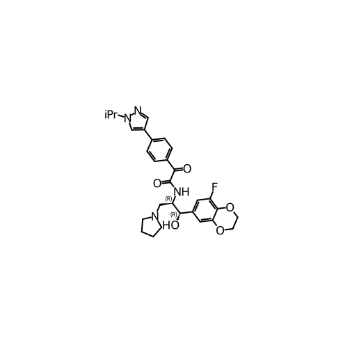 CC(C)n1cc(-c2ccc(C(=O)C(=O)N[C@H](CN3CCCC3)[C@H](O)c3cc(F)c4c(c3)OCCO4)cc2)cn1